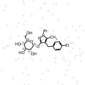 CCc1ccc(Cc2c(O[C@H]3O[C@H](CO)[C@@H](O)[C@H](O)[C@H]3O)nn(C(C)C)c2C)cc1